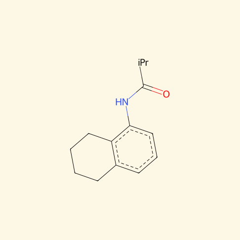 CC(C)C(=O)Nc1cccc2c1CCCC2